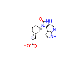 O=C(O)/C=C/[C@H]1CCC[C@@H](n2c(=O)[nH]c3cnc4[nH]ccc4c32)C1